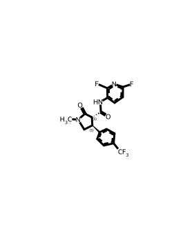 CN1C[C@H](c2ccc(C(F)(F)F)cc2)[C@@H](C(=O)Nc2ccc(F)nc2F)C1=O